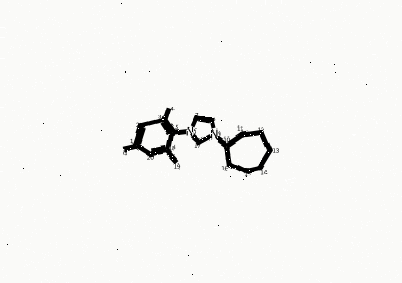 Cc1cc(C)c(N2C=CN(C3CCCCCC3)C2)c(C)c1